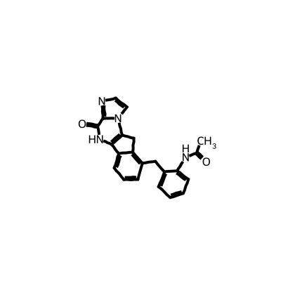 CC(=O)Nc1ccccc1Cc1cccc2c1Cc1c-2[nH]c(=O)c2nccn12